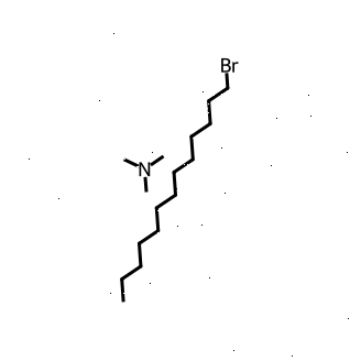 CCCCCCCCCCCCCBr.CN(C)C